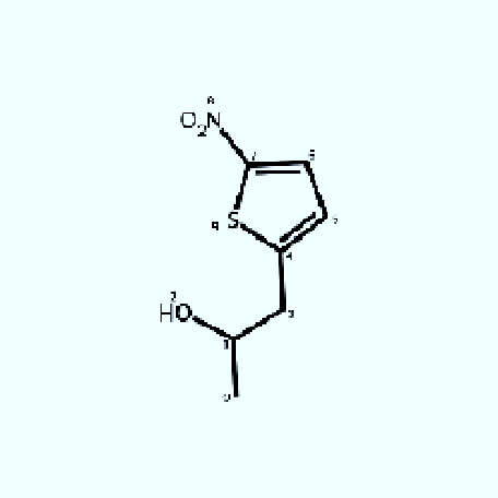 CC(O)Cc1ccc([N+](=O)[O-])s1